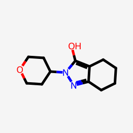 Oc1c2c(nn1C1CCOCC1)CCCC2